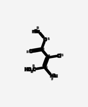 CCCCOC(=O)C(Cl)=C(CCCC)C(=O)O